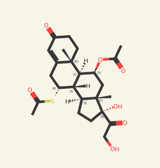 CC(=O)O[C@H]1C[C@@]2(C)[C@@H](CC[C@]2(O)C(=O)CO)[C@H]2[C@H]1[C@@]1(C)CCC(=O)C=C1C[C@H]2SC(C)=O